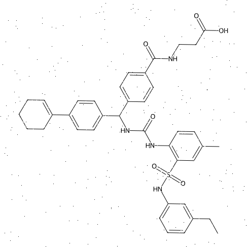 CCc1cccc(NS(=O)(=O)c2cc(C)ccc2NC(=O)NC(c2ccc(C(=O)NCCC(=O)O)cc2)c2ccc(C3=CCCCC3)cc2)c1